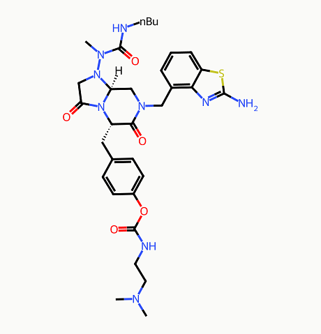 CCCCNC(=O)N(C)N1CC(=O)N2[C@@H](Cc3ccc(OC(=O)NCCN(C)C)cc3)C(=O)N(Cc3cccc4sc(N)nc34)C[C@@H]21